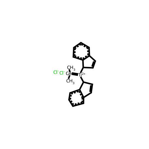 [CH3][Ge]([CH3])=[Ti+2]([CH]1C=Cc2ccccc21)[CH]1C=Cc2ccccc21.[Cl-].[Cl-]